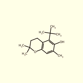 Cc1cc2c(c(C(C)(C)C)c1O)CCC(C)(C)O2